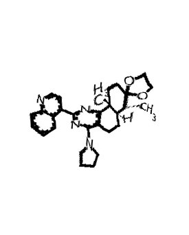 C[C@@H]1[C@H]2CCc3c(N4CCCC4)nc(-c4ccnc5ccccc45)nc3[C@]2(C)CCC12OCCO2